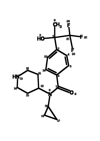 CC(O)(c1ccc(C(=O)N(C2CCNCC2)C2CC2)cc1)C(F)(F)F